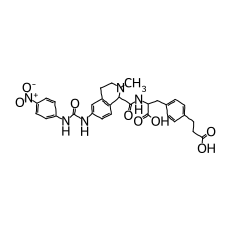 CN1CCc2cc(NC(=O)Nc3ccc([N+](=O)[O-])cc3)ccc2C1C(=O)NC(Cc1ccc(CCC(=O)O)cc1)C(=O)O